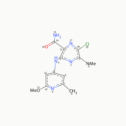 CNc1nc(Nc2cc(C)nc(OC)c2)c(C(N)=O)nc1Cl